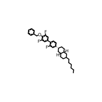 CCCCCCC1CC[C@@H]2C[C@H](c3ccc(-c4cc(F)c(OCc5ccccc5)c(F)c4)c(F)c3)CC[C@@H]2C1